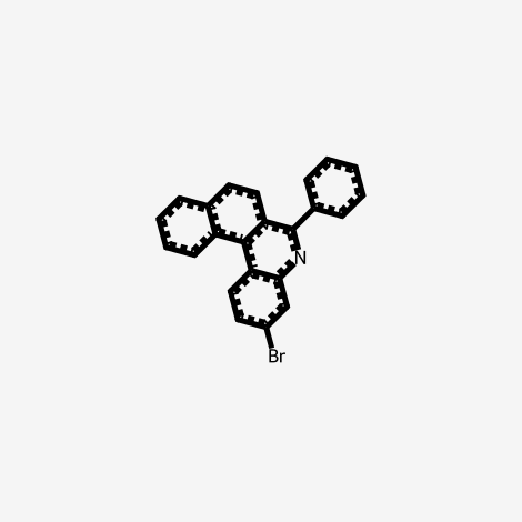 Brc1ccc2c(c1)nc(-c1ccccc1)c1ccc3ccccc3c12